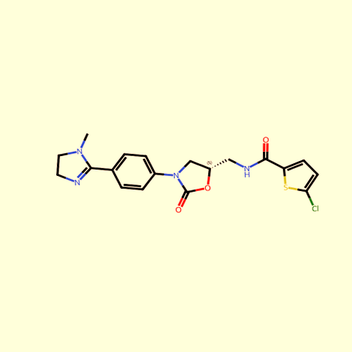 CN1CCN=C1c1ccc(N2C[C@H](CNC(=O)c3ccc(Cl)s3)OC2=O)cc1